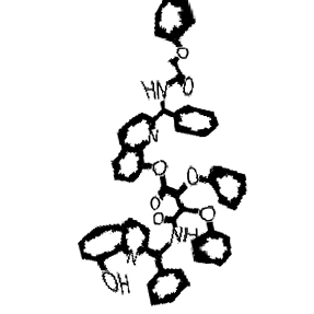 O=C(COc1ccccc1)NC(c1ccccc1)c1ccc2cccc(OC(=O)C(Oc3ccccc3)C(Oc3ccccc3)C(=O)NC(c3ccccc3)c3ccc4cccc(O)c4n3)c2n1